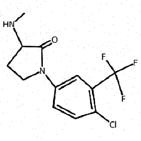 CNC1CCN(c2ccc(Cl)c(C(F)(F)F)c2)C1=O